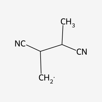 [CH2]C(C#N)C(C)C#N